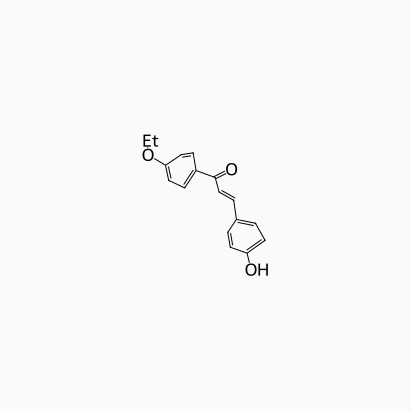 CCOc1ccc(C(=O)C=Cc2ccc(O)cc2)cc1